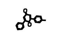 Cc1ccc(C2=CC(=O)C=C(c3ccccc3)C2=O)cc1